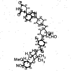 COc1cc(OC2C(C)(C)C(NC(=O)c3ccc(N4CCC(CN5CCC(n6ncc7c(N8CCC(=O)NC8=O)nccc76)CC5)CC4)c(F)c3)C2(C)C)ccc1C#N.O=CO